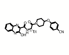 CC[C@H](NC(=O)c1nc2ccccc2nc1O)C(=O)N1CCC(Oc2ccc(C#N)cc2)CC1